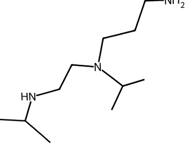 CC(C)NCCN(CCCN)C(C)C